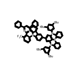 CC(C)(C)c1cc(N2c3ccccc3B3c4ccccc4N(c4cc(C(C)(C)C)cc(C(C)(C)C)c4)c4cc(-c5ccc6c(c5)c5ccccc5n6-c5cccc(C(F)(F)F)c5-c5nc(-c6ccccc6)cc(-c6ccccc6)n5)cc2c43)cc(C(C)(C)C)c1